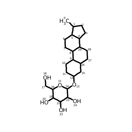 CC1CCC2C1CCC1C3CCC(OC4OC(CO)C(O)C(O)C4O)CC3CCC21